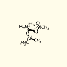 BC([O][Al]([CH3])[CH3])[O][Al]([CH3])[CH3]